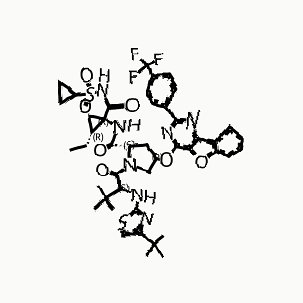 CC[C@@H]1C[C@]1(NC(=O)[C@@H]1C[C@@H](Oc2nc(-c3ccc(C(F)(F)F)cc3)nc3c2oc2ccccc23)CN1C(=O)[C@@H](Nc1nc(C(C)(C)C)cs1)C(C)(C)C)C(=O)NS(=O)(=O)C1CC1